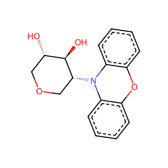 O[C@H]1[C@H](N2c3ccccc3Oc3ccccc32)COC[C@@H]1O